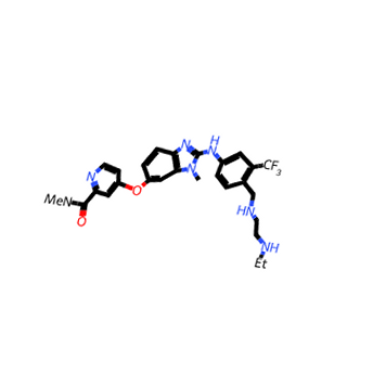 CCNCCNCc1ccc(Nc2nc3ccc(Oc4ccnc(C(=O)NC)c4)cc3n2C)cc1C(F)(F)F